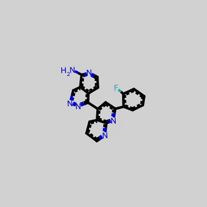 Nc1nccc2c(-c3cc(-c4ccccc4F)nc4ncccc34)nncc12